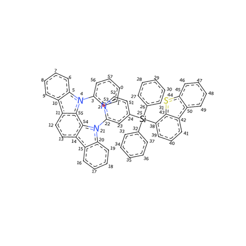 c1ccc(-n2c3ccccc3c3ccc4c5ccccc5n(-c5cc([Si](c6ccccc6)(c6ccccc6)c6cccc7c6sc6ccccc67)ccn5)c4c32)cc1